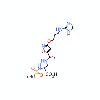 CCCCS(=O)(=O)NC(CNC(=O)c1cc(OCCCNC2=NCCN2)no1)C(=O)O